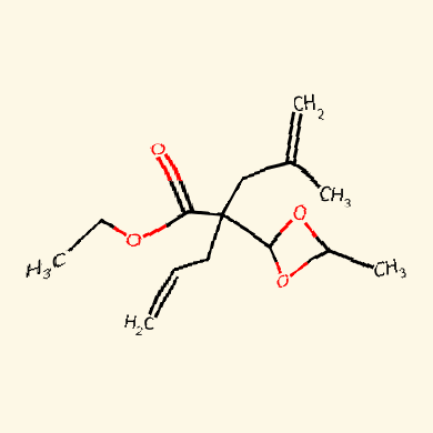 C=CCC(CC(=C)C)(C(=O)OCC)C1OC(C)O1